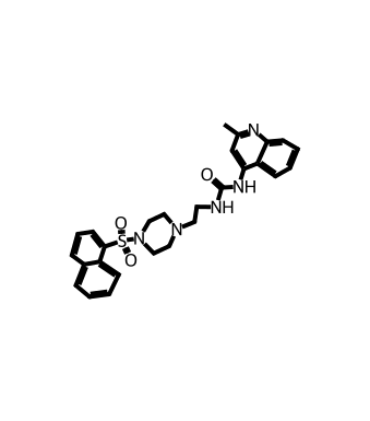 Cc1cc(NC(=O)NCCN2CCN(S(=O)(=O)c3cccc4ccccc34)CC2)c2ccccc2n1